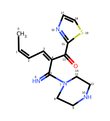 C/C=C\C=C(/C(=N)N1CCNCC1)C(=O)c1nccs1